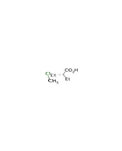 CCC(CC)C(=O)O.CCl